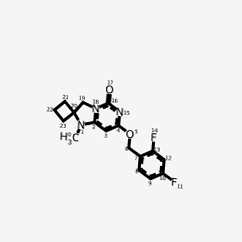 CN1c2cc(OCc3ccc(F)cc3F)nc(=O)n2CC12CCC2